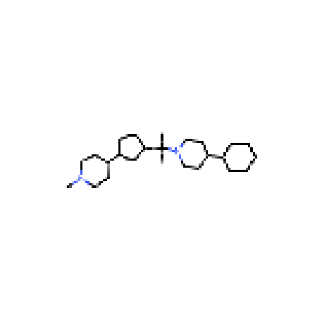 CN1CCC(C2CCC(C(C)(C)N3CCC(C4CCCCC4)CC3)C2)CC1